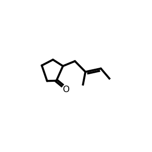 C/C=C(\C)CC1CCCC1=O